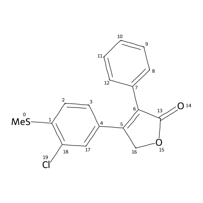 CSc1ccc(C2=C(c3ccccc3)C(=O)OC2)cc1Cl